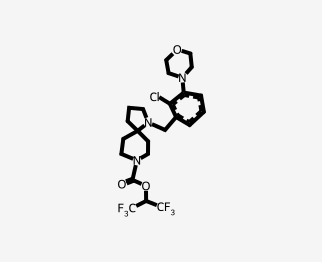 O=C(OC(C(F)(F)F)C(F)(F)F)N1CCC2(CCCN2Cc2cccc(N3CCOCC3)c2Cl)CC1